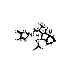 CC(=O)O[C@H]1c2ccccc2[C@@H]2OC(=O)/C(=C/O[C@H]3C=C(C)C(=O)O3)[C@H]12